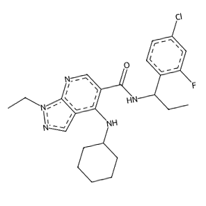 CCC(NC(=O)c1cnc2c(cnn2CC)c1NC1CCCCC1)c1ccc(Cl)cc1F